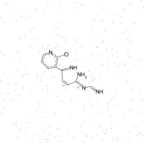 N=C/N=C(N)/C=C\C(=N)c1cccnc1Cl